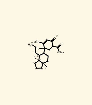 COC(=O)C1C[C@](C)(C2CC[C@]3(C)CCC[C@H]3C2CCN)C(OC)=CC1=O